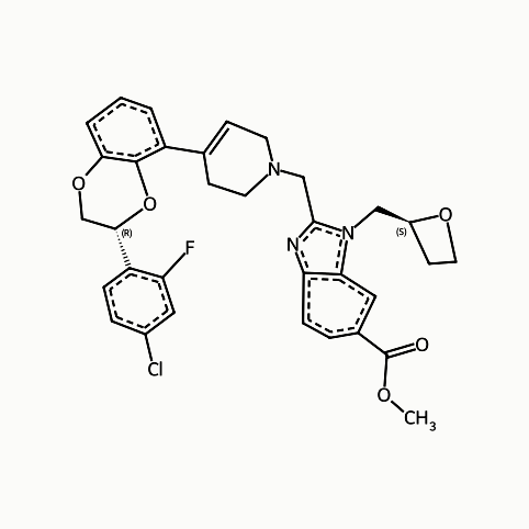 COC(=O)c1ccc2nc(CN3CC=C(c4cccc5c4O[C@H](c4ccc(Cl)cc4F)CO5)CC3)n(C[C@@H]3CCO3)c2c1